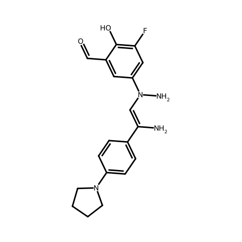 N/C(=C\N(N)c1cc(F)c(O)c(C=O)c1)c1ccc(N2CCCC2)cc1